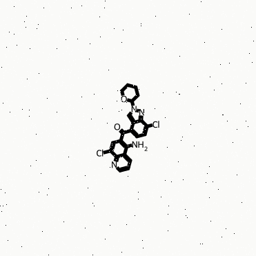 Nc1c(C(=O)c2ccc(Cl)c3nn(C4CCCCO4)cc23)cc(Cl)c2ncccc12